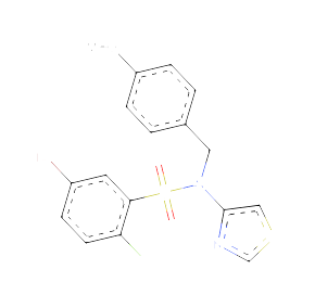 COc1ccc(CN(c2cscn2)S(=O)(=O)c2[c]c(Br)ccc2F)cc1